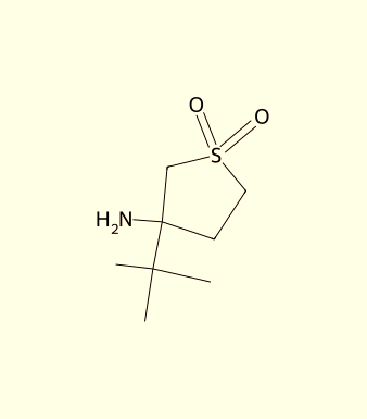 CC(C)(C)C1(N)CCS(=O)(=O)C1